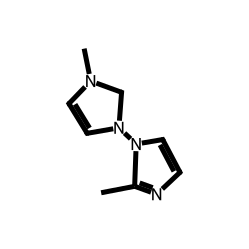 Cc1nccn1N1C=CN(C)C1